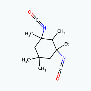 CCC1(N=C=O)CC(C)(C)CC(C)(N=C=O)C1C